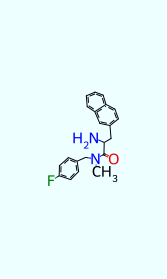 CN(Cc1ccc(F)cc1)C(=O)C(N)Cc1ccc2ccccc2c1